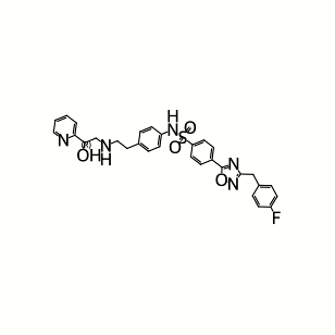 O=S(=O)(Nc1ccc(CCNC[C@@H](O)c2ccccn2)cc1)c1ccc(-c2nc(Cc3ccc(F)cc3)no2)cc1